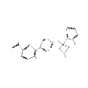 CC1CC(Nc2ncc(-c3cc(C(N)=O)ccc3F)cn2)(c2ncccc2Cl)C1